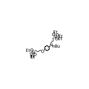 CCCCN(CCC[Si](OCC)(OCC)OCC)c1ccc(OCCC[Si](OCC)(OCC)OCC)cc1